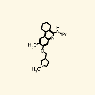 Cc1cc2c3c(c(NC(C)C)nc2cc1OCC1CCN(C)C1)CCCC3